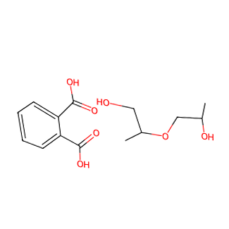 CC(O)COC(C)CO.O=C(O)c1ccccc1C(=O)O